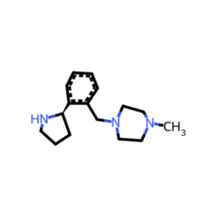 CN1CCN(Cc2ccccc2[C@H]2CCCN2)CC1